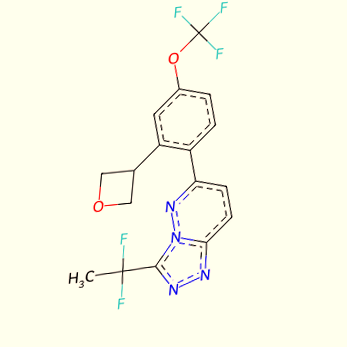 CC(F)(F)c1nnc2ccc(-c3ccc(OC(F)(F)F)cc3C3COC3)nn12